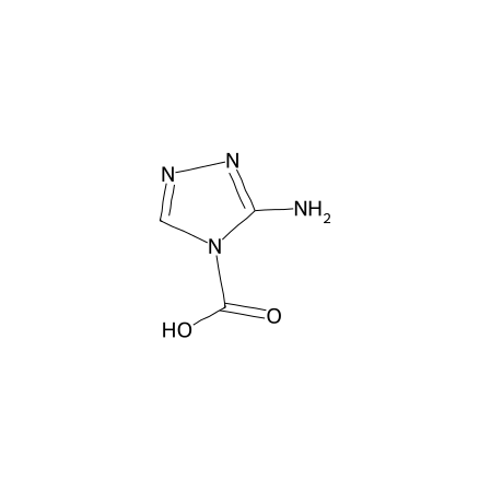 Nc1nncn1C(=O)O